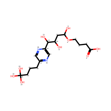 O=C(O)CCCOC(O)CC(O)C(O)c1cnc(CCCC(O)(O)O)cn1